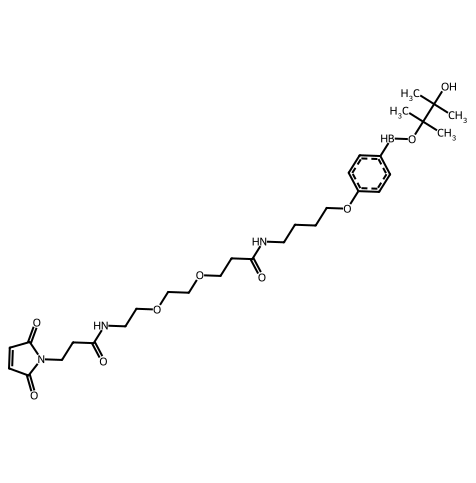 CC(C)(O)C(C)(C)OBc1ccc(OCCCCNC(=O)CCOCCOCCNC(=O)CCN2C(=O)C=CC2=O)cc1